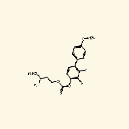 CCCCCCC(CCOC(=O)Oc1ccc(-c2ccc(OCCCC)cc2)c(F)c1F)C(F)(F)F